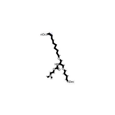 CCCCCCCC/C=C\CCCCCCCCOCC(COCCCCCCCCCCCCCC)NC(=O)OCCN(C)C